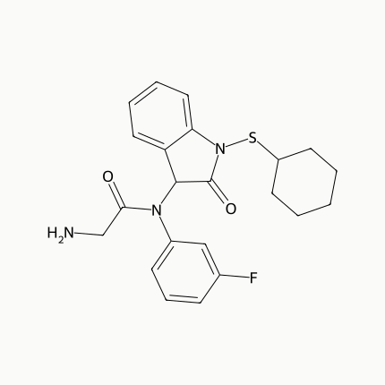 NCC(=O)N(c1cccc(F)c1)C1C(=O)N(SC2CCCCC2)c2ccccc21